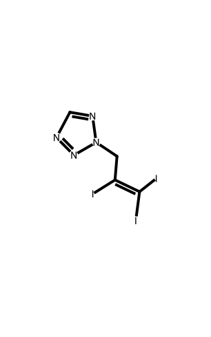 IC(I)=C(I)Cn1ncnn1